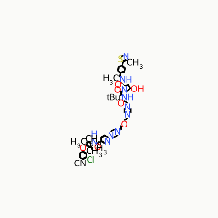 Cc1ncsc1-c1ccc([C@H](C)NC(=O)[C@@H]2C[C@@H](O)CN2C(=O)[C@@H](NC(=O)CN2CCN(CCOCCN3CCN(c4ccc(C(=O)N[C@H]5C(C)(C)[C@H](Oc6ccc(C#N)c(Cl)c6)C5(C)C)cn4)CC3)CC2)C(C)(C)C)cc1